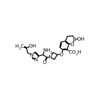 C=C(O)Cn1cnc(C(N)C(=O)N2CC(Oc3ccc4c(c3C(=O)O)OB(O)CC4)C2)c1